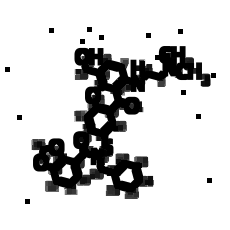 CN(C)CCNc1ccc(CO)c2oc3ccc(SN(Cc4ccccc4)C(=O)c4cccc5c4OCO5)cc3c(=O)c12